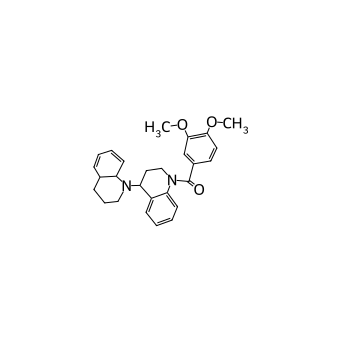 COc1ccc(C(=O)N2CCC(N3CCCC4C=CC=CC43)c3ccccc32)cc1OC